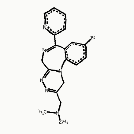 CN(C)CC1=NN=C2CN=C(c3ccccn3)c3cc(Br)ccc3N2C1